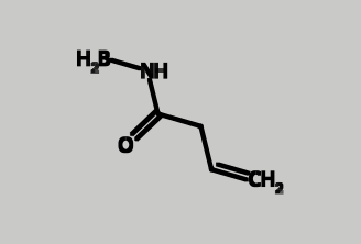 BNC(=O)CC=C